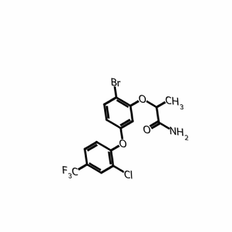 CC(Oc1cc(Oc2ccc(C(F)(F)F)cc2Cl)ccc1Br)C(N)=O